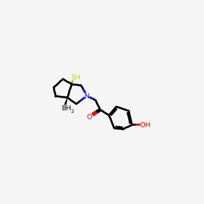 B[C@@]12CCC[C@]1(S)CN(CC(=O)c1ccc(O)cc1)C2